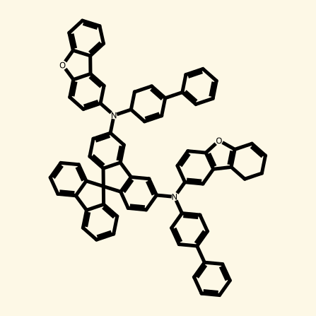 C1=Cc2oc3ccc(N(c4ccc(-c5ccccc5)cc4)c4ccc5c(c4)-c4cc(N(c6ccc7oc8ccccc8c7c6)C6C=CC(c7ccccc7)=CC6)ccc4C54c5ccccc5-c5ccccc54)cc3c2CC1